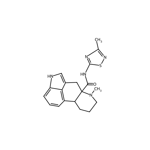 Cc1nsc(NC(=O)C23Cc4c[nH]c5cccc(c45)C2CCCN3C)n1